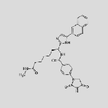 CNC(=O)CCCCC[C@H](NC(=O)c1ccc(N2CC(=O)NC2=O)cc1)c1ncc(-c2ccc3ccccc3c2)[nH]1